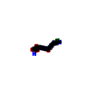 C[C@H]1CC2(CCN(c3ccc(C(=O)N4CCN(C5CCN(c6ccc7c(c6)C(=O)N(C6CCC(=O)NC6=O)C7=O)CC5)CC4)cc3)CC2)CN1c1ccc(C#N)c(Cl)c1